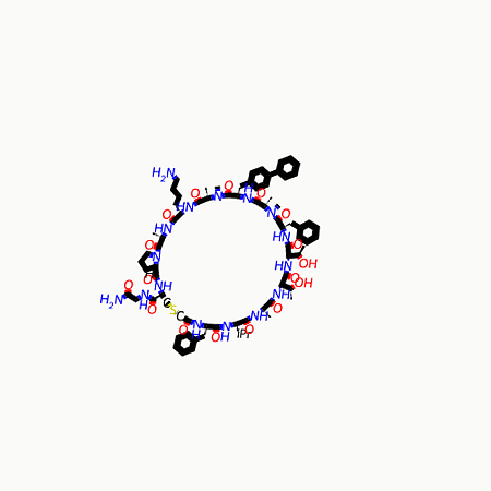 CC(C)[C@@H]1NC(=O)[C@H](Cc2ccccc2)NC(=O)CSC[C@@H](C(=O)NCC(N)=O)NC(=O)[C@@H]2CCCN2C(=O)[C@H](C)NC(=O)[C@H](CCCCN)NC(=O)[C@H](C)N(C)C(=O)[C@H](Cc2ccc(-c3ccccc3)cc2)NC(=O)[C@H](C)N(C)C(=O)[C@H](Cc2ccccc2)NC(=O)[C@H]([C@@H](C)O)NC(=O)[C@H]([C@@H](C)O)NC(=O)[C@H](C)NC1=O